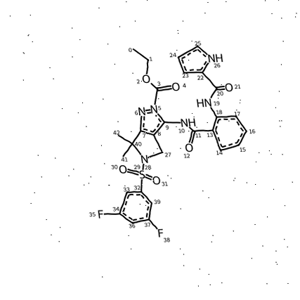 CCOC(=O)n1nc2c(c1NC(=O)c1ccccc1NC(=O)c1ccc[nH]1)CN(S(=O)(=O)c1cc(F)cc(F)c1)C2(C)C